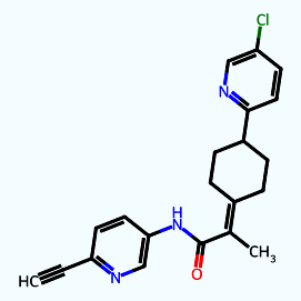 C#Cc1ccc(NC(=O)C(C)=C2CCC(c3ccc(Cl)cn3)CC2)cn1